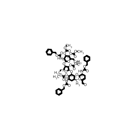 CCC1O[C@H](O[C@H]2[C@@H](OC(=O)OC)[C@H](O[C@@H]3[C@@H](OC(=O)OC)[C@H](NC(=O)OCc4ccccc4)C[C@H](C)[C@H]3O[C@H]3OC(C=O)=CC[C@H]3NC(=O)OCc3ccccc3)O[C@@H]2CC)[C@H](NC(=O)OCc2ccccc2)[C@@H](OC(=O)OC)[C@@H]1OC(=O)OC